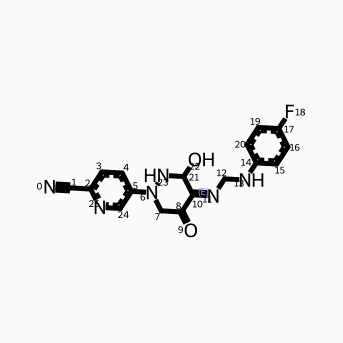 N#Cc1ccc(N2CC(=O)/C(=N/CNc3ccc(F)cc3)C(O)N2)cn1